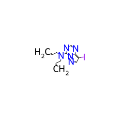 C=CCN(CC=C)c1ncnc2c(I)cnn12